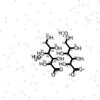 O.O.O=C([O-])C(O)C(O)C(O)C(O)CO.O=C([O-])C(O)C(O)C(O)C(O)CO.[Fe+2]